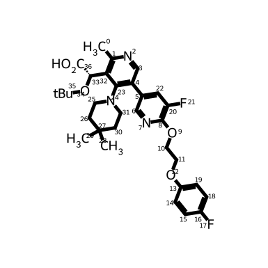 Cc1ncc(-c2cnc(OCCOc3ccc(F)cc3)c(F)c2)c(N2CCC(C)(C)CC2)c1[C@H](OC(C)(C)C)C(=O)O